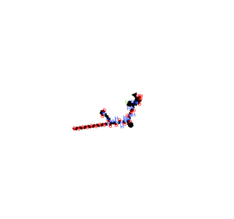 COCCOCCOCCOCCOCCOCCOCCOCCNC(=O)[C@H](CCC(=O)NCC(=O)NCC(=O)N[C@@H](Cc1ccccc1)C(=O)NCC(=O)NCOCC(=O)NCc1c2c(nc3cc(F)c(C)cc13)-c1cc3c(c(=O)n1C2)COC(=O)[C@]3(O)CC1CC1)NC(=O)CCCCCN1C(=O)C=CC1=O